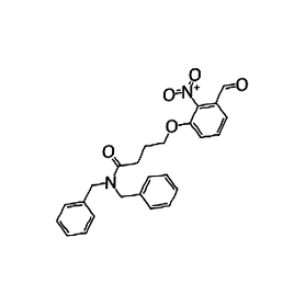 O=Cc1cccc(OCCCC(=O)N(Cc2ccccc2)Cc2ccccc2)c1[N+](=O)[O-]